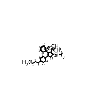 CCCCc1ccc(C2=C(c3ccccc3)C(C(C)(C)C)=C([SiH3])C2)cc1